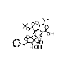 CC(C)CC(=O)C1=C(C(=O)OC(C)(C)C)N2C(=O)C(NC(=O)Cc3ccccc3)(C(=O)O)[C@@H]2SC1C(=O)O